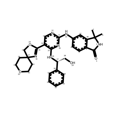 CC1(C)NC(=O)c2ccc(Nc3ncc(C4=NC5(CCOCC5)CO4)c(N[C@H](CO)c4ccccc4)n3)cc21